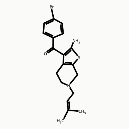 CC(C)=CCN1CCc2c(sc(N)c2C(=O)c2ccc(Br)cc2)C1